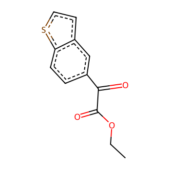 CCOC(=O)C(=O)c1ccc2sccc2c1